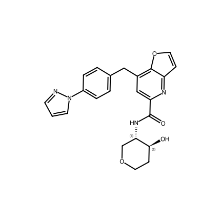 O=C(N[C@H]1COCC[C@@H]1O)c1cc(Cc2ccc(-n3cccn3)cc2)c2occc2n1